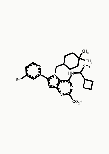 CC(C)c1ccnc(-c2nc3nc(C(=O)O)nc(NC(C)C4CCC4)c3n2CC2CCC(C)(C)CC2)c1